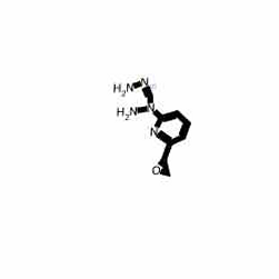 N/N=C\N(N)c1cccc(C2CO2)n1